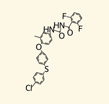 Cc1cc(NC(=O)NC(=O)c2c(F)cccc2F)ccc1Oc1ccc(Sc2ccc(Cl)cc2)cc1